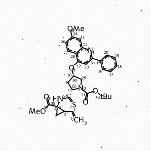 C=CC1C[C@]1(NC(=S)[C@@H]1C[C@@H](Oc2cc(-c3ccccc3)nc3cc(OC)ccc23)CN1C(=O)OC(C)(C)C)C(=O)OC